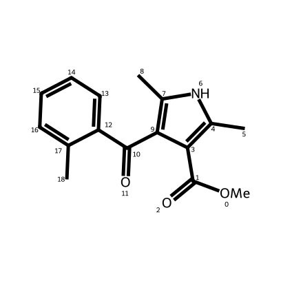 COC(=O)c1c(C)[nH]c(C)c1C(=O)c1ccccc1C